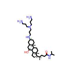 CC(C)NC(=O)CC[C@@H](C)[C@H]1CCC2C3C(CC[C@@]21C)[C@@]1(C)CC[C@H](NCCCN(CCCN)CCCN)CC1C[C@@H]3O